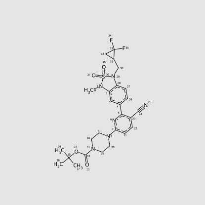 CN1c2cc(-c3nc(N4CCN(C(=O)OC(C)(C)C)CC4)ccc3C#N)ccc2N(CC2CC2(F)F)S1(=O)=O